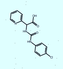 O=C(Nc1ccc(Cl)cc1)NC(C(=O)O)c1ccccn1